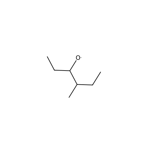 CCC(C)C([O])CC